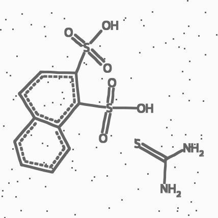 NC(N)=S.O=S(=O)(O)c1ccc2ccccc2c1S(=O)(=O)O